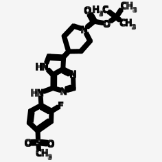 CC(C)(C)OC(=O)N1CCC(c2c[nH]c3c(Nc4ccc(S(C)(=O)=O)cc4F)ncnc23)CC1